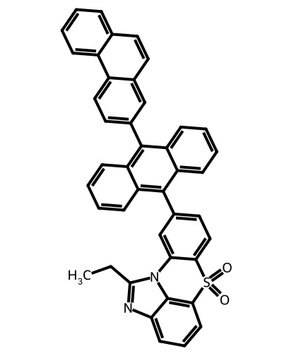 CCc1nc2cccc3c2n1-c1cc(-c2c4ccccc4c(-c4ccc5c(ccc6ccccc65)c4)c4ccccc24)ccc1S3(=O)=O